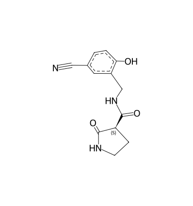 N#Cc1ccc(O)c(CNC(=O)[C@H]2CCNC2=O)c1